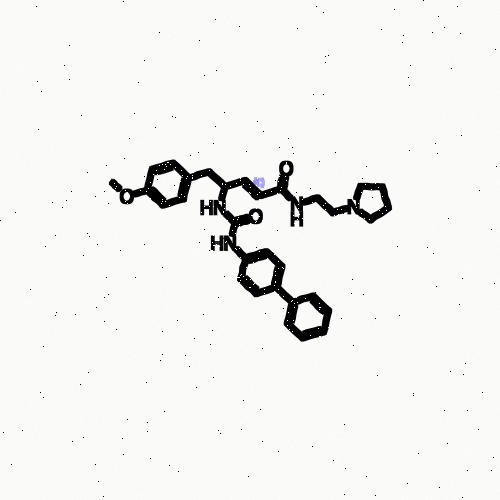 COc1ccc(CC(/C=C/C(=O)NCCN2CCCC2)NC(=O)Nc2ccc(-c3ccccc3)cc2)cc1